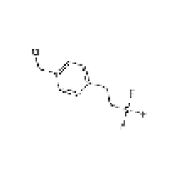 F[Si](F)(F)CCc1ccc(CCl)cc1